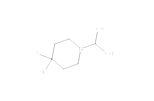 CC(C=O)N1CCC(F)(F)CC1